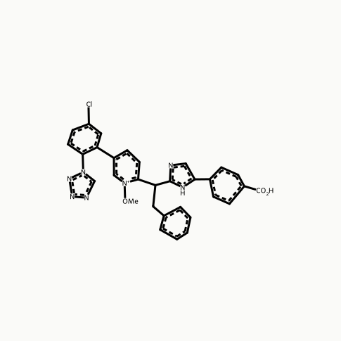 CO[n+]1cc(-c2cc(Cl)ccc2-n2cnnn2)ccc1C(Cc1ccccc1)c1ncc(-c2ccc(C(=O)O)cc2)[nH]1